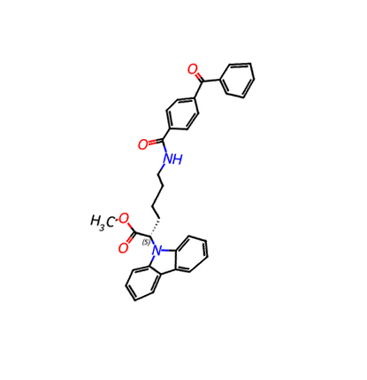 COC(=O)[C@H](CCCCNC(=O)c1ccc(C(=O)c2ccccc2)cc1)n1c2ccccc2c2ccccc21